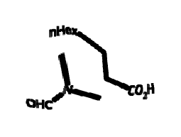 CCCCCCCCC(=O)O.CN(C)C=O